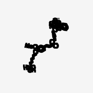 COc1cc(C=CC(=O)OCC#CCOc2no[n+]([O-])c2S(=O)(=O)c2ccccc2)ccc1OCCCCCCC(=O)NO